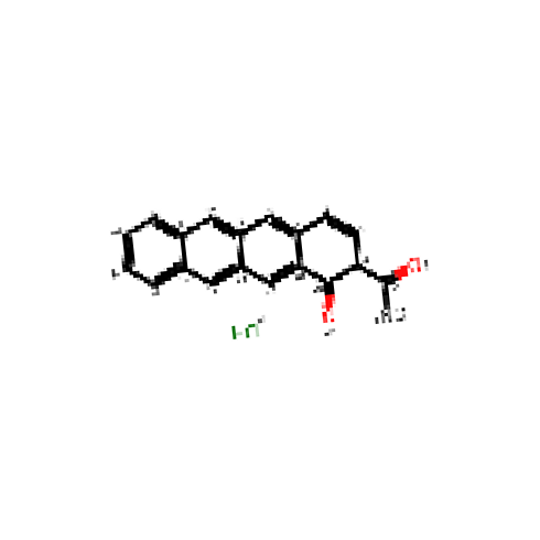 Cl.O=NC(=O)C1C=Cc2cc3cc4ccccc4cc3cc2C1=O